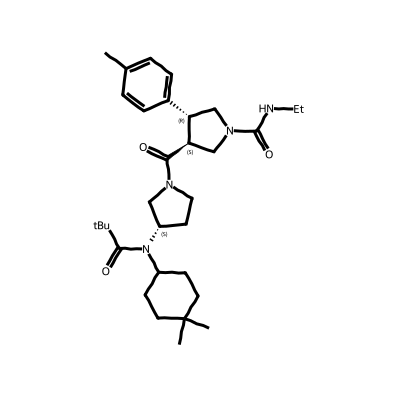 CCNC(=O)N1C[C@@H](C(=O)N2CC[C@H](N(C(=O)C(C)(C)C)C3CCC(C)(C)CC3)C2)[C@H](c2ccc(C)cc2)C1